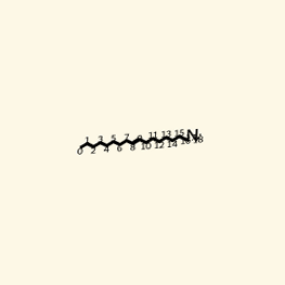 CCCCCCCCC=CCCCCCCC[N]C